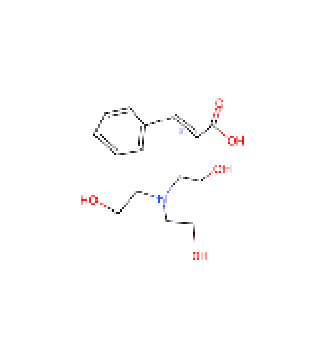 O=C(O)/C=C/c1ccccc1.OCCN(CCO)CCO